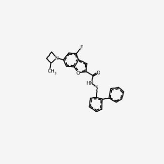 CC1CCN1c1cc(F)c2cc(C(=O)NSc3ccccc3-c3ccccc3)oc2c1